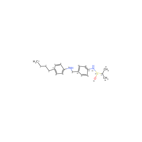 CCCCc1ccc(NCc2ccc(N[S+]([O-])C(C)C)cc2)cc1